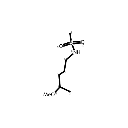 COC(C)CCCNS(C)(=O)=O